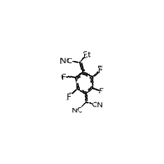 CCC(C#N)=c1c(F)c(F)c(=C(C#N)C#N)c(F)c1F